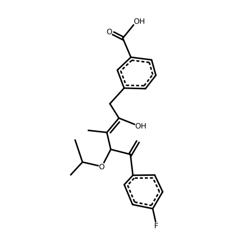 C=C(c1ccc(F)cc1)C(OC(C)C)C(C)=C(O)Cc1cccc(C(=O)O)c1